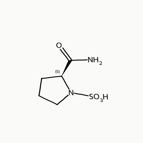 NC(=O)[C@@H]1CCCN1S(=O)(=O)O